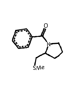 CSCC1CCCN1C(=O)c1ccccc1